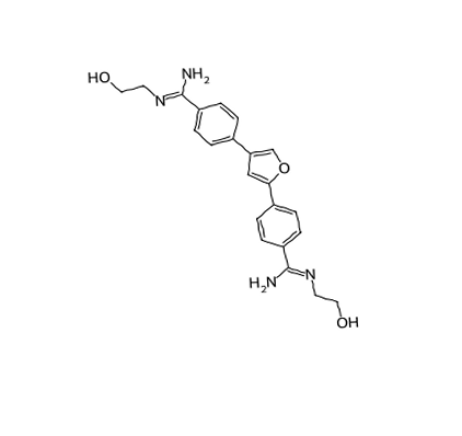 NC(=NCCO)c1ccc(-c2coc(-c3ccc(C(N)=NCCO)cc3)c2)cc1